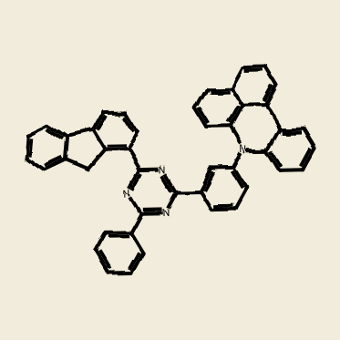 c1ccc(-c2nc(-c3cccc(N4c5ccccc5-c5cccc6cccc4c56)c3)nc(-c3cccc4c3Cc3ccccc3-4)n2)cc1